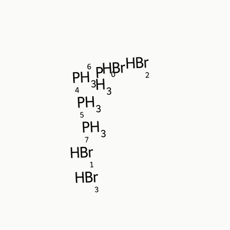 Br.Br.Br.Br.P.P.P.P